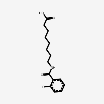 O=C(O)CCCCCCCNC(=O)c1ccccc1F